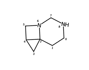 C1CC23CC2CN3CN1